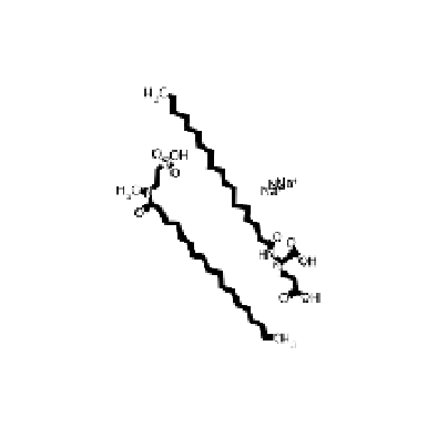 CCCCCCCCCCCCCCCCCC(=O)N(C)CCS(=O)(=O)O.CCCCCCCCCCCCCCCCCC(=O)N[C@@H](CCC(=O)O)C(=O)O.[Na+].[Na+].[Na+]